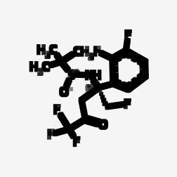 CC(C)(C)[S+]([O-])N[C@](CF)(CC(=O)C(F)(F)F)c1cccc(F)c1F